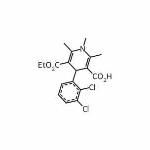 CCOC(=O)C1=C(C)N(C)C(C)=C(C(=O)O)C1c1cccc(Cl)c1Cl